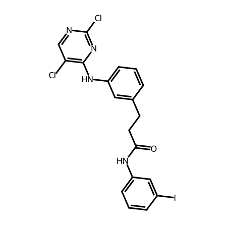 O=C(CCc1cccc(Nc2nc(Cl)ncc2Cl)c1)Nc1cccc(I)c1